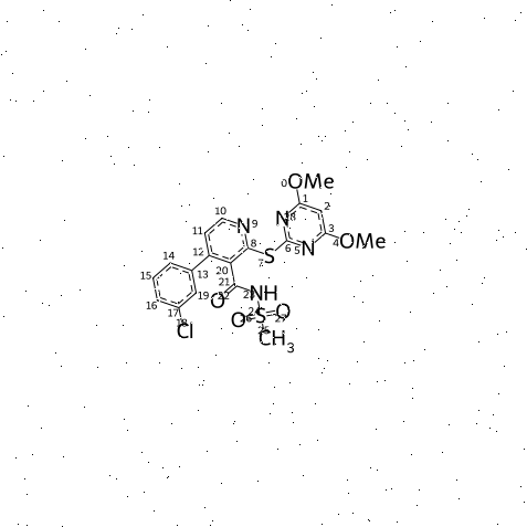 COc1cc(OC)nc(Sc2nccc(-c3cccc(Cl)c3)c2C(=O)NS(C)(=O)=O)n1